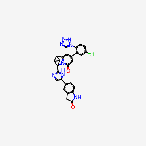 O=C1Cc2cc(-c3cnc(C45C6C(c7cc(-c8cc(Cl)ccc8-n8cnnn8)cc(=O)n74)C65)[nH]3)ccc2N1